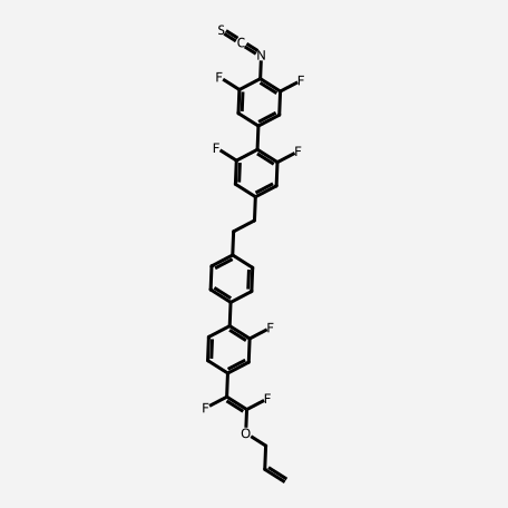 C=CCO/C(F)=C(\F)c1ccc(-c2ccc(CCc3cc(F)c(-c4cc(F)c(N=C=S)c(F)c4)c(F)c3)cc2)c(F)c1